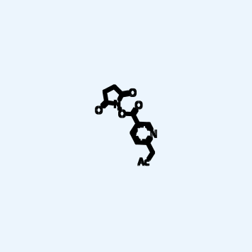 CC(=O)Cc1ccc(C(=O)ON2C(=O)CCC2=O)cn1